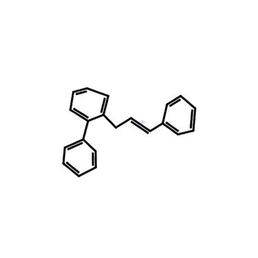 C(=C\c1ccccc1)/Cc1ccccc1-c1ccccc1